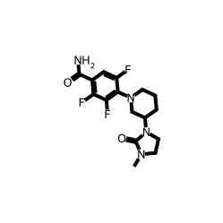 CN1CCN(C2CCCN(c3c(F)cc(C(N)=O)c(F)c3F)C2)C1=O